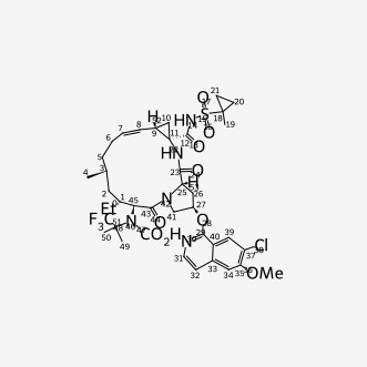 CC[C@@H]1C[C@@H](C)CC/C=C\[C@@H]2C[C@@]2(C(=O)NS(=O)(=O)C2(C)CC2)NC(=O)[C@@H]2C[C@@H](Oc3nccc4cc(OC)c(Cl)cc34)CN2C(=O)[C@H]1N(C(=O)O)C(C)(C)C(F)(F)F